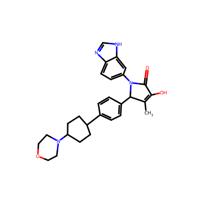 CC1=C(O)C(=O)N(c2ccc3nc[nH]c3c2)C1c1ccc(C2CCC(N3CCOCC3)CC2)cc1